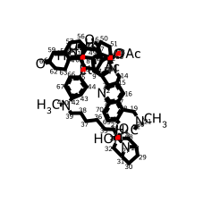 CC[C@@]1(O)C(=O)OCc2c1cc1n(c2=O)Cc2cc3c(CN(C)C)c(OC(O)N4C5CCC4CN(CCCCCCN(C)c4ccc([C@H]6CC7[C@@H](CC[C@]7(OC(C)=O)C(C)=O)[C@@H]7CCC8=CC(=O)CCC8=C76)cc4)C5)ccc3nc2-1